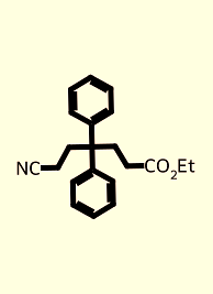 CCOC(=O)CCC(CCC#N)(c1ccccc1)c1ccccc1